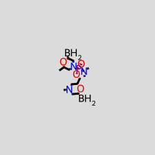 BC1CN(P(=O)(OCC2CN(C)CC(B)O2)N(C)C)CC(C)O1